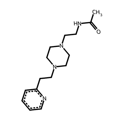 CC(=O)NCCN1CCN(CCc2ccccn2)CC1